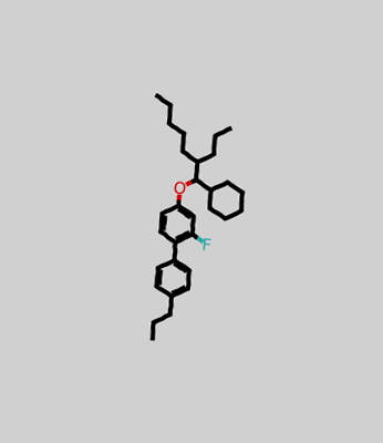 CCCCCC(CCC)C(Oc1ccc(-c2ccc(CCC)cc2)c(F)c1)C1CCCCC1